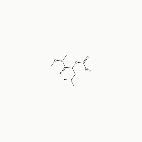 CON(C)C(=O)C(CC(C)C)OC(N)=O